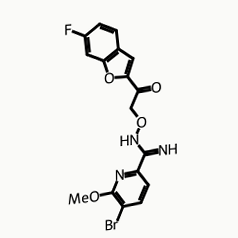 COc1nc(C(=N)NOCC(=O)c2cc3ccc(F)cc3o2)ccc1Br